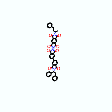 CC(CCc1ccccc1)n1c(=O)c2cc3c(=O)n(N4C(=O)c5ccc(-c6ccc7c(c6)C(=O)N(C(Cc6ccccc6)c6ccccc6)C7=O)cc5C4=O)c(=O)c3cc2c1=O